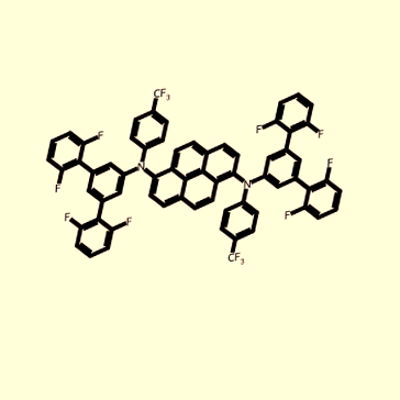 Fc1cccc(F)c1-c1cc(-c2c(F)cccc2F)cc(N(c2ccc(C(F)(F)F)cc2)c2ccc3ccc4c(N(c5ccc(C(F)(F)F)cc5)c5cc(-c6c(F)cccc6F)cc(-c6c(F)cccc6F)c5)ccc5ccc2c3c54)c1